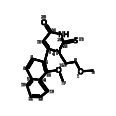 COCCn1c(-c2ccc3ccccc3c2OC)cc(=O)[nH]c1=S